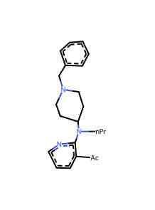 CCCN(c1ncccc1C(C)=O)C1CCN(Cc2ccccc2)CC1